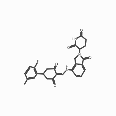 Cc1ccc(F)c(C2CC(=O)C(=CNc3cccc4c3CN(C3CCC(=O)NC3=O)C4=O)C(=O)C2)c1